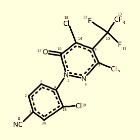 N#Cc1ccc(-n2nc(Cl)c(C(F)(F)C(F)(F)F)c(Cl)c2=O)c(Cl)c1